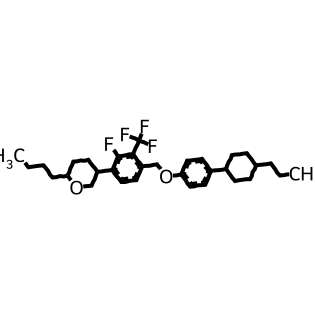 CCCCC1CCC(c2ccc(COc3ccc(C4CCC(CCC)CC4)cc3)c(C(F)(F)F)c2F)CO1